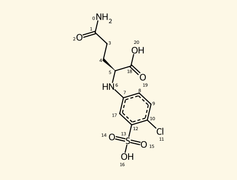 NC(=O)CC[C@H](Nc1ccc(Cl)c(S(=O)(=O)O)c1)C(=O)O